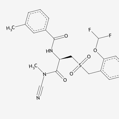 Cc1cccc(C(=O)N[C@@H](CS(=O)(=O)Cc2ccccc2OC(F)F)C(=O)N(C)C#N)c1